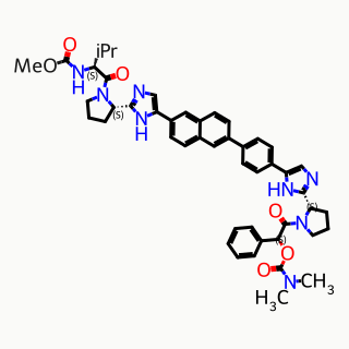 COC(=O)N[C@H](C(=O)N1CCC[C@H]1c1ncc(-c2ccc3cc(-c4ccc(-c5cnc([C@@H]6CCCN6C(=O)[C@@H](OC(=O)N(C)C)c6ccccc6)[nH]5)cc4)ccc3c2)[nH]1)C(C)C